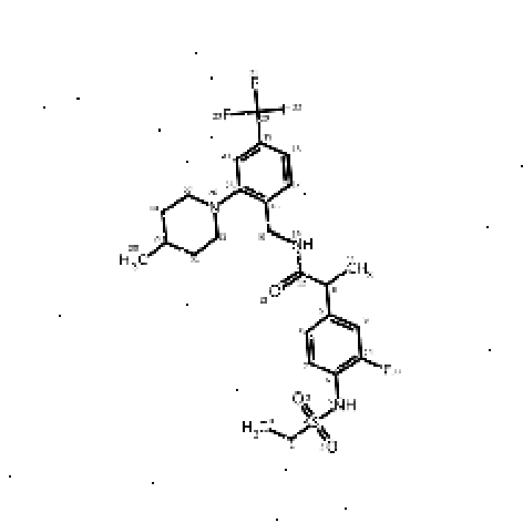 CCS(=O)(=O)Nc1ccc(C(C)C(=O)NCc2ccc(C(F)(F)F)cc2N2CCC(C)CC2)cc1F